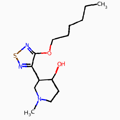 CCCCCCOc1nsnc1C1CN(C)CCC1O